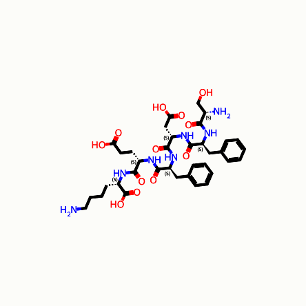 NCCCC[C@H](NC(=O)[C@H](CCC(=O)O)NC(=O)[C@H](Cc1ccccc1)NC(=O)[C@H](CC(=O)O)NC(=O)[C@H](Cc1ccccc1)NC(=O)[C@@H](N)CO)C(=O)O